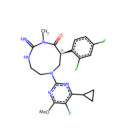 COc1nc(N2CCNC(=N)N(C)C(=O)[C@@H](c3ccc(F)cc3F)C2)nc(C2CC2)c1F